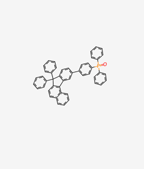 O=P(c1ccccc1)(c1ccccc1)c1ccc(-c2ccc3c(c2)-c2c(ccc4ccccc24)C3(c2ccccc2)c2ccccc2)cc1